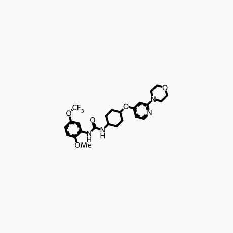 COc1ccc(OC(F)(F)F)cc1NC(=O)NC1CCC(Oc2ccnc(N3CCOCC3)c2)CC1